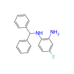 Nc1cc(F)ccc1NC(c1ccccc1)c1ccccc1